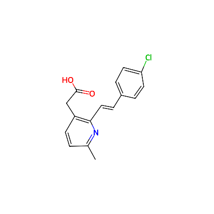 Cc1ccc(CC(=O)O)c(C=Cc2ccc(Cl)cc2)n1